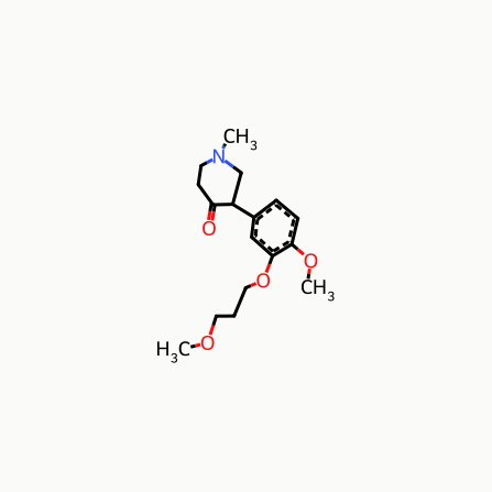 COCCCOc1cc(C2CN(C)CCC2=O)ccc1OC